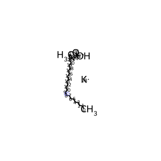 CCCCCCCC/C=C\CCCCCCCCCCCCN(C)CC(=O)O.[K]